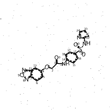 O=C(COc1ccc2nonc2c1)Nc1ccc(S(=O)(=O)Nc2nccs2)cc1